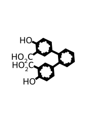 O=C(O)c1cc(-c2ccccc2-c2ccc(O)c(C(=O)O)c2)ccc1O